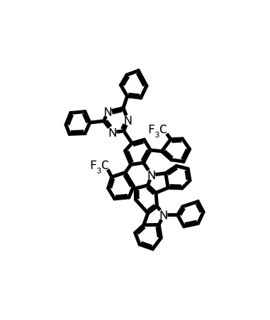 FC(F)(F)c1ccccc1-c1cc(-c2nc(-c3ccccc3)nc(-c3ccccc3)n2)cc(-c2ccccc2C(F)(F)F)c1-n1c2ccccc2c2c1ccc1c3ccccc3n(-c3ccccc3)c12